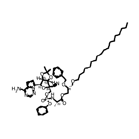 CCCCCCCCCCCCCCCCCCOC[C@H](COC(=O)[C@H](C)NP(=O)(OC[C@@]1(C#N)O[C@@H](c2ccc3c(N)ncnn23)[C@@H]2OC(C)(C)O[C@@H]21)Oc1ccccc1)OCc1ccccc1